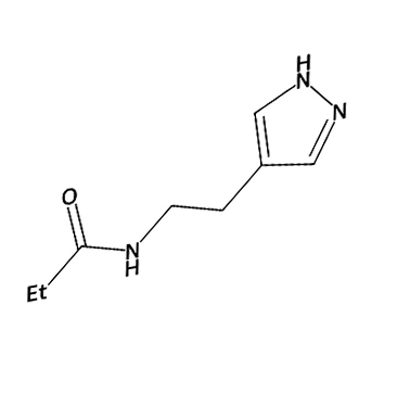 CCC(=O)NCCc1cn[nH]c1